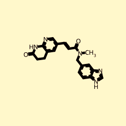 CN(Cc1ccc2[nH]cnc2c1)C(=O)C=Cc1cnc2c(c1)CCC(=O)N2